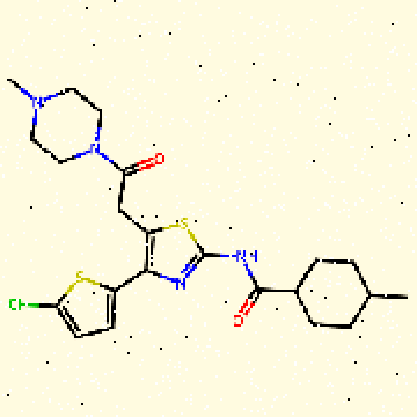 CC1CCC(C(=O)Nc2nc(-c3ccc(Cl)s3)c(CC(=O)N3CCN(C)CC3)s2)CC1